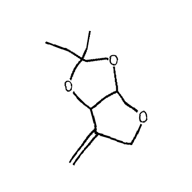 C=C1COC2OC(C)(C)OC12